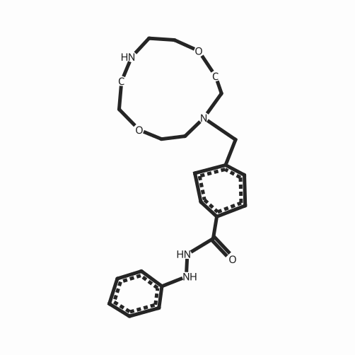 O=C(NNc1ccccc1)c1ccc(CN2CCOCCNCCOCC2)cc1